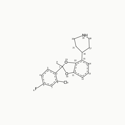 CC1(c2ccc(F)cc2Cl)Oc2cccc(C3CCNCC3)c2O1